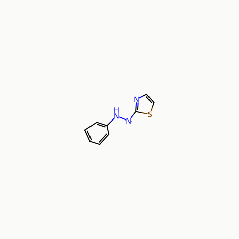 c1ccc(N[N]c2nccs2)cc1